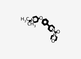 CC(C)N1CCC(Oc2ccc(C3=CCN(C(=O)N4CCOCC4)CC3)cc2)CC1